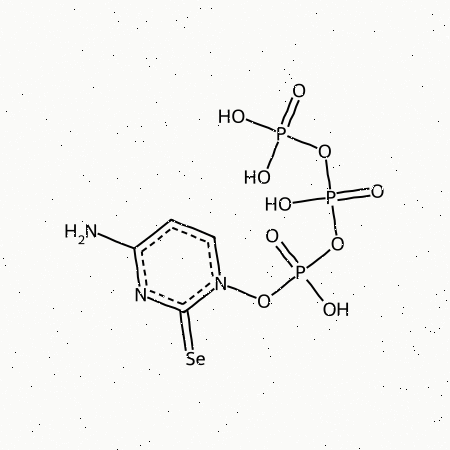 Nc1ccn(OP(=O)(O)OP(=O)(O)OP(=O)(O)O)c(=[Se])n1